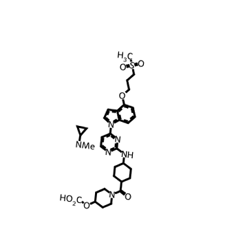 CNC1CC1.CS(=O)(=O)CCCOc1cccc2c1ccn2-c1ccnc(NC2CCC(C(=O)N3CCC(OC(=O)O)CC3)CC2)n1